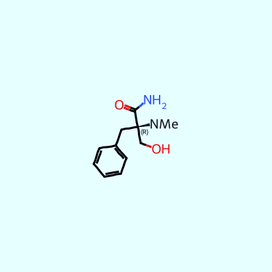 CN[C@@](CO)(Cc1ccccc1)C(N)=O